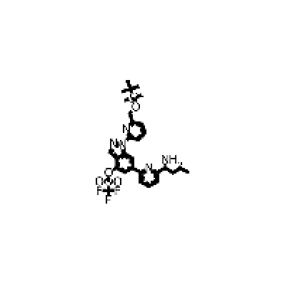 CCC[C@H](N)c1cccc(-c2cc(OS(=O)(=O)C(F)(F)F)c3cnn(-c4cccc(CO[Si](C)(C)C(C)(C)C)n4)c3c2)n1